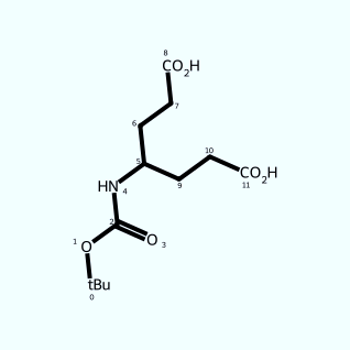 CC(C)(C)OC(=O)NC(CCC(=O)O)CCC(=O)O